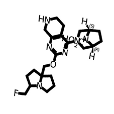 O=C(O)N1[C@@H]2CC[C@H]1CN(c1nc(OCC34CCCN3C(CF)CC4)nc3c1CCNC3)C2